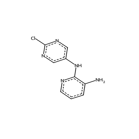 Nc1cccnc1Nc1cnc(Cl)nc1